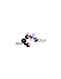 COc1ccc([C@@H]2CC(=O)N(CC(=O)Nc3nc(C(=O)O)cs3)C2)cc1/C=C1/CCOC1